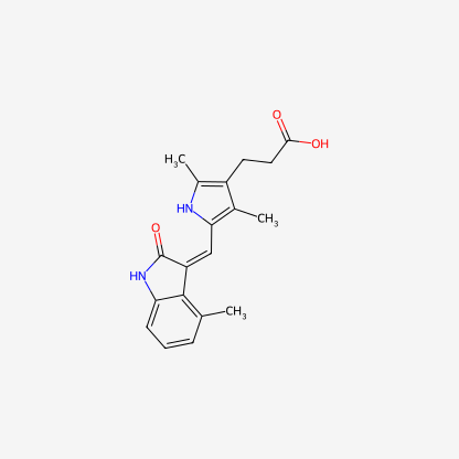 Cc1cccc2c1C(=Cc1[nH]c(C)c(CCC(=O)O)c1C)C(=O)N2